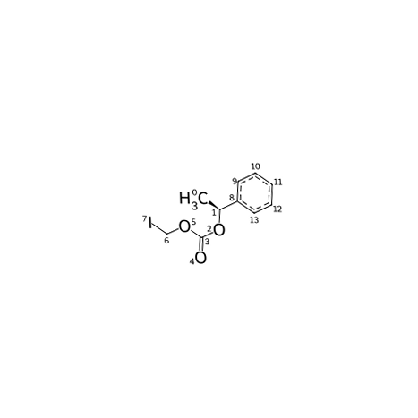 C[C@H](OC(=O)OCI)c1ccccc1